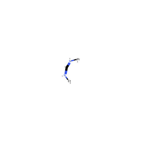 CCN=C=NC(C)C